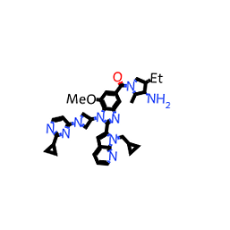 CCC1CN(C(=O)c2cc(OC)c3c(c2)nc(-c2cc4cccnc4n2CC2CC2)n3C2CN(c3ccnc(C4CC4)n3)C2)C(C)[C@@H]1N